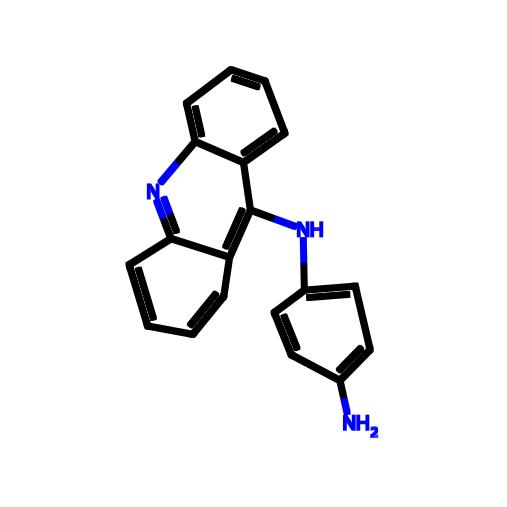 Nc1ccc(Nc2c3ccccc3nc3ccccc23)cc1